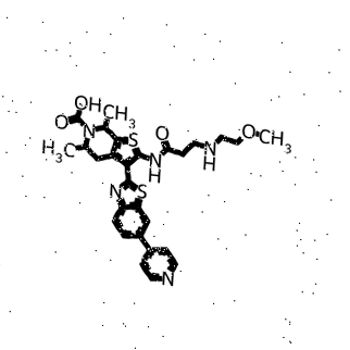 COCCNCCC(=O)Nc1sc2c(c1-c1nc3ccc(-c4ccncc4)cc3s1)CC(C)N(C(=O)O)C2C